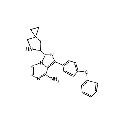 Nc1nccn2c(C3CC4(CC4)CN3)nc(-c3ccc(Oc4ccccc4)cc3)c12